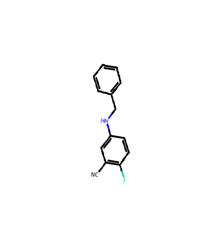 N#Cc1cc(NCc2ccccc2)ccc1F